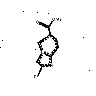 COC(=O)c1ccc2nc(Br)cn2c1